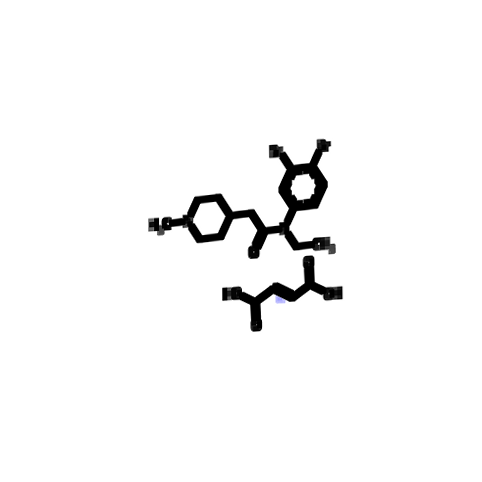 CCN(C(=O)CC1CCN(C)CC1)c1ccc(Br)c(Br)c1.O=C(O)/C=C/C(=O)O